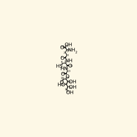 NC(CCC(=O)NC(CS)C(=O)NCC(=O)O[C@@H](C=O)[C@@H](O)[C@H](O)[C@H](O)CO)C(=O)O